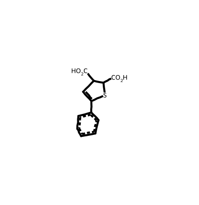 O=C(O)C1C=C(c2ccccc2)SC1C(=O)O